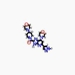 Cn1cc(-c2cc(N3CCOCC3)c3nc(C(=O)N4CCC(N5CCOCC5)CC4)n(C)c3n2)cn1